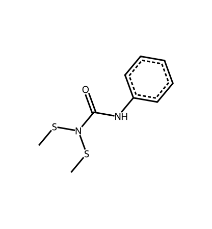 CSN(SC)C(=O)Nc1ccccc1